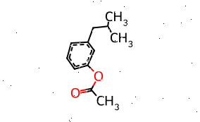 CC(=O)Oc1cccc(CC(C)C)c1